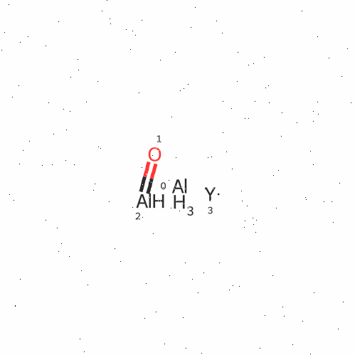 [AlH3].[O]=[AlH].[Y]